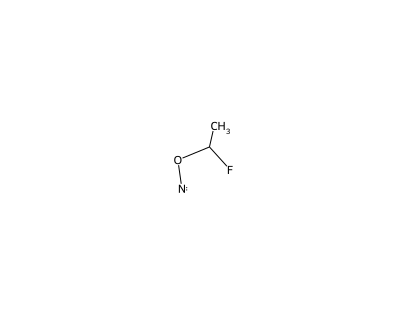 CC(F)O[N]